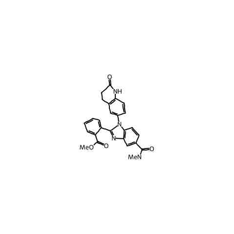 CNC(=O)c1ccc2c(c1)nc(-c1ccccc1C(=O)OC)n2-c1ccc2c(c1)CCC(=O)N2